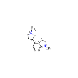 CC(C)N1CCc2c(C3CCN(C)C3)cccc21